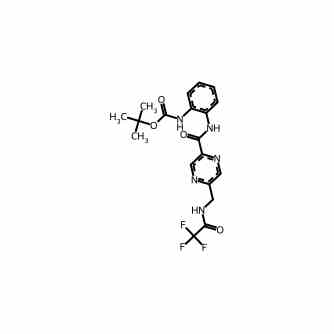 CC(C)(C)OC(=O)Nc1ccccc1NC(=O)c1cnc(CNC(=O)C(F)(F)F)cn1